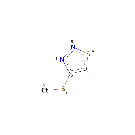 C[CH]Sc1csnn1